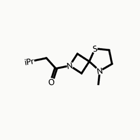 CC(C)CC(=O)N1CC2(C1)SCCN2C